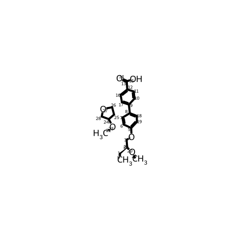 CC[C@@H](COc1ccc(-c2ccc(C(=O)O)cc2)cc1)OC.COC1CCOC1